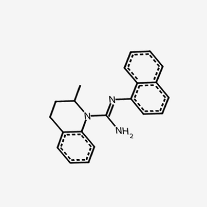 CC1CCc2ccccc2N1C(N)=Nc1cccc2ccccc12